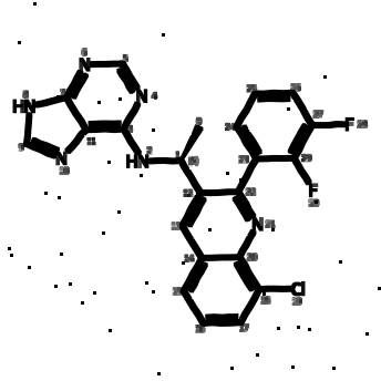 C[C@H](Nc1ncnc2[nH]cnc12)c1cc2cccc(Cl)c2nc1-c1cccc(F)c1F